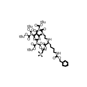 CC(C)(C)OC(=O)N(C(=O)OC(C)(C)C)c1nc(N(C(=O)OC(C)(C)C)C(=O)OC(C)(C)C)c2c(=O)n(C(=O)OC(C)(C)C)c(=O)n(CCN[C@@H](CCCCNC(=O)OCc3ccccc3)C(=O)OCCS(C)(C)C)c2n1